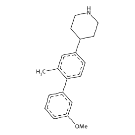 COc1cccc(-c2ccc(C3CCNCC3)cc2C)c1